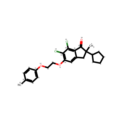 CC1(C2CCCC2)Cc2cc(OCCOc3ccc(C#N)cc3)c(Cl)c(Cl)c2C1=O